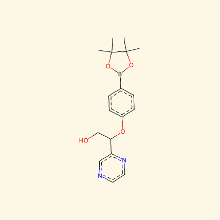 CC1(C)OB(c2ccc(OC(CO)c3cnccn3)cc2)OC1(C)C